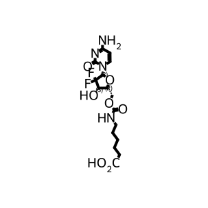 Nc1ccn([C@@H]2O[C@H](COC(=O)NCCCCCC(=O)O)[C@H](O)C2(F)F)c(=O)n1